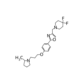 CC1CCCN1CCCOc1ccc(-c2nc(CN3CCC(F)(F)CC3)co2)cc1